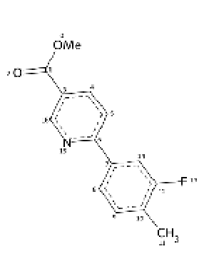 COC(=O)c1ccc(-c2ccc(C)c(F)c2)nc1